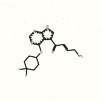 NC/C=C/C(=O)c1c[nH]c2ncnc(OC3CCC(F)(F)CC3)c12